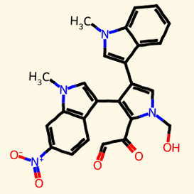 Cn1cc(-c2cn(CO)c(C(=O)C=O)c2-c2cn(C)c3cc([N+](=O)[O-])ccc23)c2ccccc21